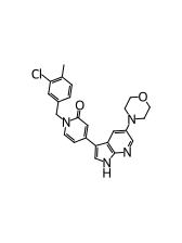 Cc1ccc(Cn2ccc(-c3c[nH]c4ncc(N5CCOCC5)cc34)cc2=O)cc1Cl